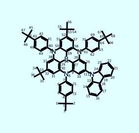 CC(C)(C)c1ccc(N2c3cc(-n4c5ccccc5c5ccccc54)cc4c3B3c5c2cc(C(C)(C)C)cc5N(c2ccc(C(C)(C)C)cc2)c2cc(C(C)(C)C)cc(c23)N4c2ccc(C(C)(C)C)cc2)cc1